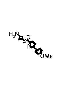 COc1ccc(-c2ccc(C(=O)OC3CC(N)C3)nc2)cc1